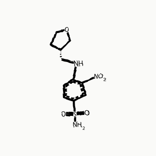 NS(=O)(=O)c1ccc(NC[C@@H]2CCOC2)c([N+](=O)[O-])c1